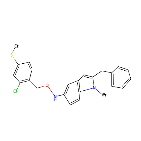 CCSc1ccc(CONc2ccc3c(c2)cc(Cc2ccccc2)n3C(C)C)c(Cl)c1